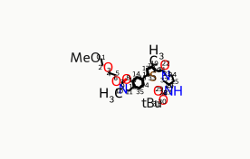 COCCOCCOC(=O)N(C)Cc1ccc(-c2cc(C)c(C(=O)N3CC[C@H](NC(=O)OC(C)(C)C)C3)s2)cc1